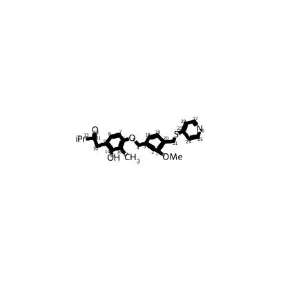 COc1cc(COc2ccc(CC(=O)C(C)C)c(O)c2C)ccc1CSc1ccncc1